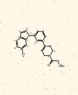 CC(C)(C)OC(=O)N1CC=C(c2cccc(-n3ncc4cnc(Cl)cc43)n2)CC1